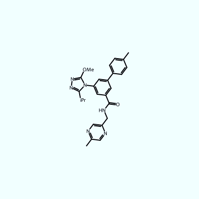 COc1nnc(C(C)C)n1-c1cc(C(=O)NCc2cnc(C)cn2)cc(-c2ccc(C)cc2)c1